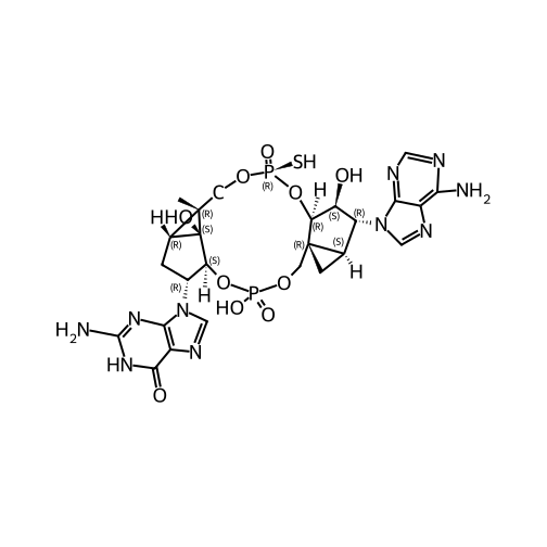 C[C@]12CO[P@@](=O)(S)O[C@H]3[C@@H](O)[C@H](n4cnc5c(N)ncnc54)[C@H]4C[C@]43COP(=O)(O)O[C@H]3[C@H](n4cnc5c(=O)[nH]c(N)nc54)C[C@H]1[C@@]32O